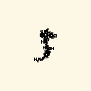 Cc1sc2c(c1C)C(c1ccc(Cl)cc1)=N[C@@H](CC(=O)NCCCNC(O)c1cc3cc(C#CCN)ccc3o1)c1nnc(C)n1-2